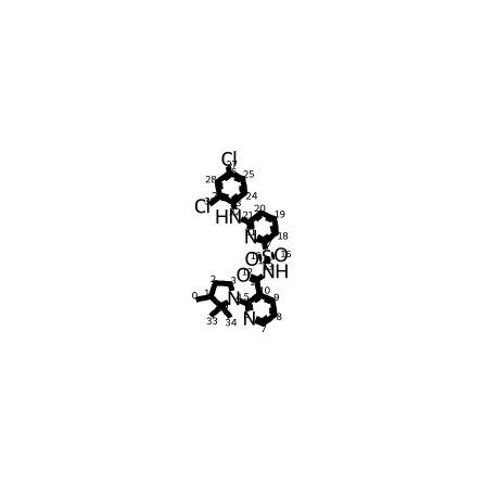 CC1CCN(c2ncccc2C(=O)NS(=O)(=O)c2cccc(Nc3ccc(Cl)cc3Cl)n2)C1(C)C